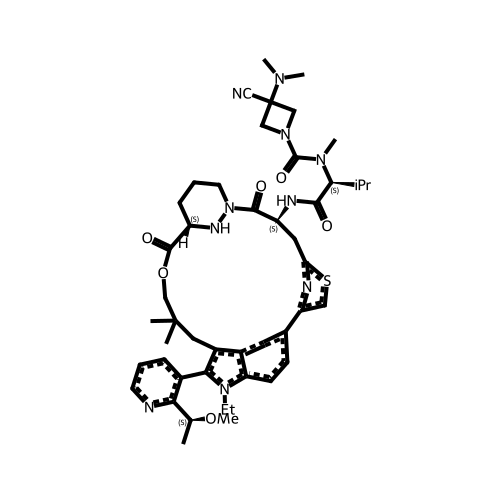 CCn1c(-c2cccnc2[C@H](C)OC)c2c3cc(ccc31)-c1csc(n1)C[C@H](NC(=O)[C@H](C(C)C)N(C)C(=O)N1CC(C#N)(N(C)C)C1)C(=O)N1CCC[C@H](N1)C(=O)OCC(C)(C)C2